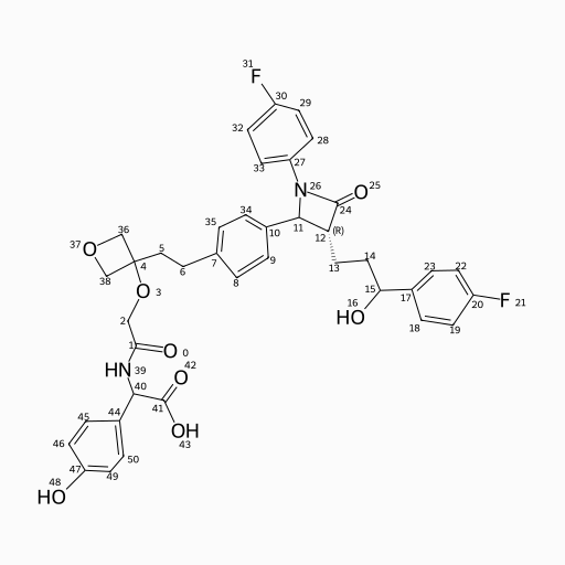 O=C(COC1(CCc2ccc(C3[C@@H](CCC(O)c4ccc(F)cc4)C(=O)N3c3ccc(F)cc3)cc2)COC1)NC(C(=O)O)c1ccc(O)cc1